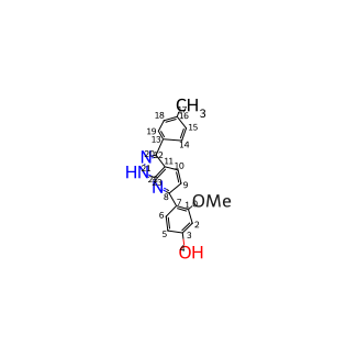 COc1cc(O)ccc1-c1ccc2c(-c3ccc(C)cc3)n[nH]c2n1